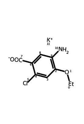 CCOc1cc(Cl)c(C(=O)[O-])cc1N.[K+]